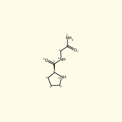 NC(=O)CNC(=O)[C@@H]1CCCN1